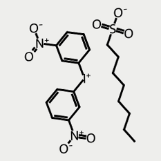 CCCCCCCCS(=O)(=O)[O-].O=[N+]([O-])c1cccc([I+]c2cccc([N+](=O)[O-])c2)c1